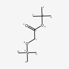 CC(C)(C)OC(=O)CO[Si](C)(C)C